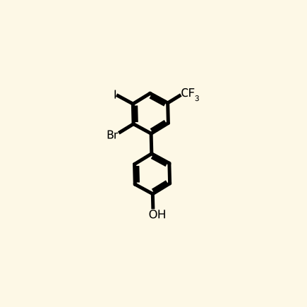 Oc1ccc(-c2cc(C(F)(F)F)cc(I)c2Br)cc1